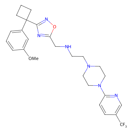 COc1cccc(C2(c3noc(CNCCN4CCN(c5ccc(C(F)(F)F)cn5)CC4)n3)CCC2)c1